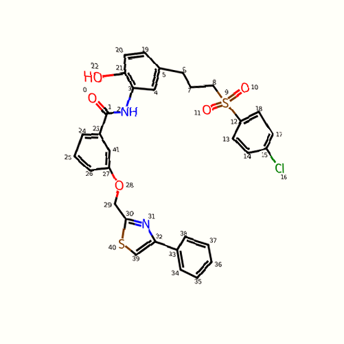 O=C(Nc1cc(CCCS(=O)(=O)c2ccc(Cl)cc2)ccc1O)c1cccc(OCc2nc(-c3ccccc3)cs2)c1